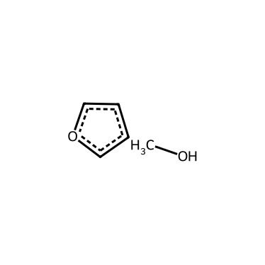 CO.c1ccoc1